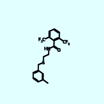 Cc1cccc(CSCCNC(=O)c2c(C(F)(F)F)cccc2C(F)(F)F)c1